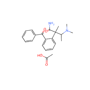 CC(=O)O.CC(N(C)C)C(C)(C(N)=O)c1ccccc1C(=O)c1ccccc1